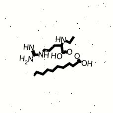 CCCCCCCCCC(=O)O.CCNC(CCCNC(=N)N)C(=O)O